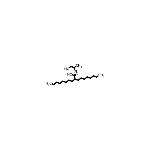 CC(O)CO.CCCCCCCCC(CCCCCCCC)C(=O)O